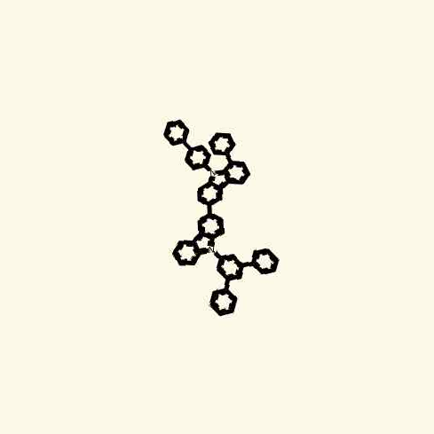 c1ccc(-c2ccc(-n3c4ccc(-c5ccc6c(c5)c5ccccc5n6-c5cc(-c6ccccc6)cc(-c6ccccc6)c5)cc4c4cccc(-c5ccccc5)c43)cc2)cc1